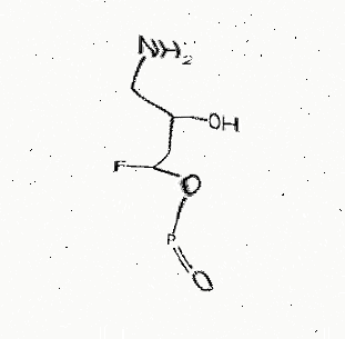 NCC(O)C(F)OP=O